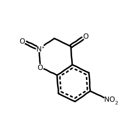 O=C1C[N+](=O)Oc2ccc([N+](=O)[O-])cc21